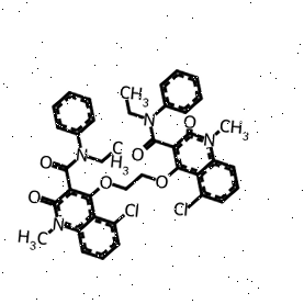 CCN(C(=O)c1c(OCCOc2c(C(=O)N(CC)c3ccccc3)c(=O)n(C)c3cccc(Cl)c23)c2c(Cl)cccc2n(C)c1=O)c1ccccc1